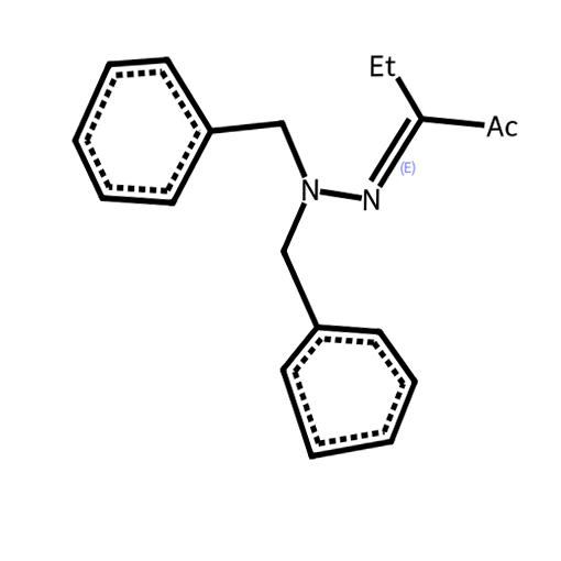 CC/C(=N\N(Cc1ccccc1)Cc1ccccc1)C(C)=O